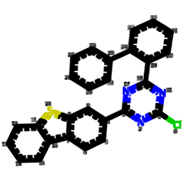 Clc1nc(-c2ccc3c(c2)sc2ccccc23)nc(-c2ccccc2-c2ccccc2)n1